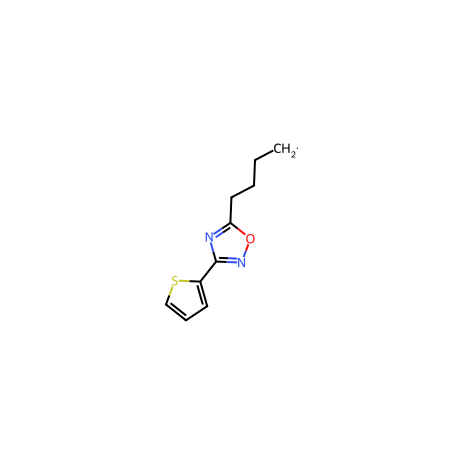 [CH2]CCCc1nc(-c2cccs2)no1